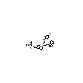 O=C(/C=C/c1ccc2c(c1)CCC2N(CCOc1ccc(Cl)cc1)CCc1c[nH]c2ccccc12)NO